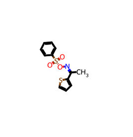 CC(=NOS(=O)(=O)c1ccccc1)c1cccs1